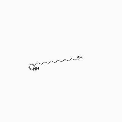 SCCCCCCCCCCCCc1ccc[nH]1